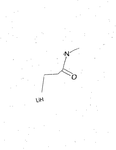 CCC(=O)[N]C.[LiH]